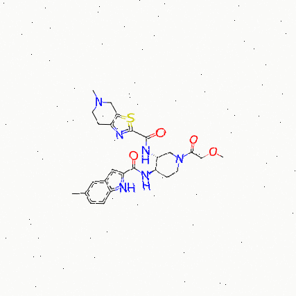 COCC(=O)N1CC[C@@H](NC(=O)c2cc3cc(C)ccc3[nH]2)[C@H](NC(=O)c2nc3c(s2)CN(C)CC3)C1